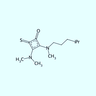 CC(C)CCCN(C)c1c(N(C)C)c(=S)c1=O